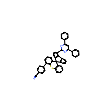 N#Cc1ccc(-c2cccc3c2Sc2ccccc2C32c3ccccc3-c3c(C4N=C(c5ccccc5)C=C(c5ccccc5)N4)cccc32)cc1